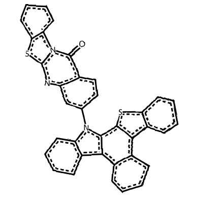 O=c1c2ccc(-n3c4ccccc4c4c5ccccc5c5c6ccccc6sc5c43)cc2nc2sc3ccccc3n12